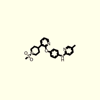 Cc1ccc(Nc2ccc(Oc3ncccc3C3CCN(S(C)(=O)=O)CC3)cc2)nc1